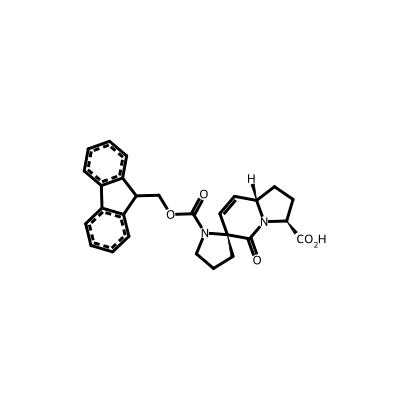 O=C(O)[C@@H]1CC[C@H]2C=C[C@]3(CCCN3C(=O)OCC3c4ccccc4-c4ccccc43)C(=O)N21